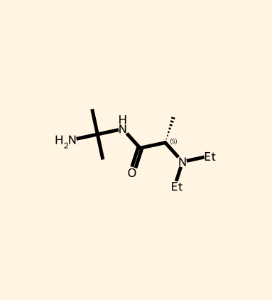 CCN(CC)[C@@H](C)C(=O)NC(C)(C)N